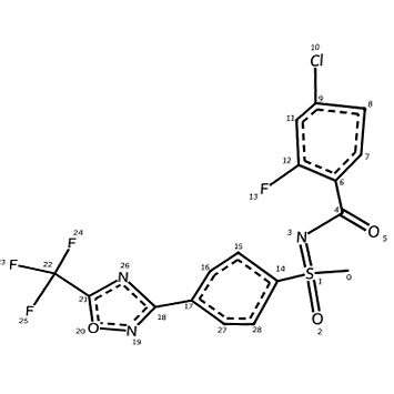 CS(=O)(=NC(=O)c1ccc(Cl)cc1F)c1ccc(-c2noc(C(F)(F)F)n2)cc1